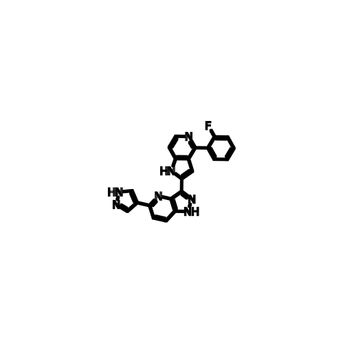 Fc1ccccc1-c1nccc2[nH]c(-c3n[nH]c4ccc(-c5cn[nH]c5)nc34)cc12